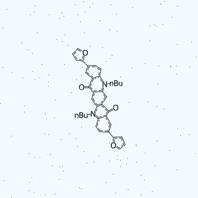 CCCCn1c2ccc(-c3ccco3)cc2c(=O)c2cc3c(cc21)c(=O)c1cc(-c2ccco2)ccc1n3CCCC